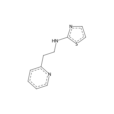 c1ccc(CCNc2nccs2)nc1